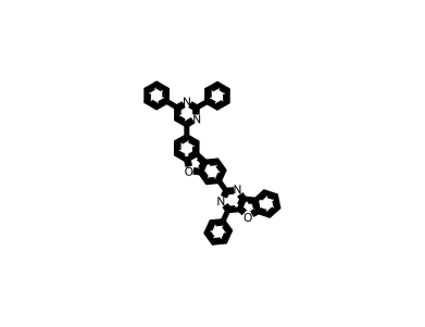 c1ccc(-c2cc(-c3ccc4oc5cc(-c6nc(-c7ccccc7)c7oc8ccccc8c7n6)ccc5c4c3)nc(-c3ccccc3)n2)cc1